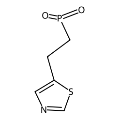 O=P(=O)CCc1cncs1